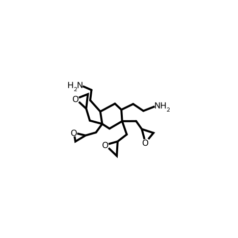 NCCC1CC(CCN)C(CC2CO2)(CC2CO2)CC1(CC1CO1)CC1CO1